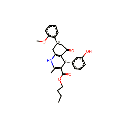 CCCCOC(=O)C1=C(C)NC2=C(C(=O)C[C@H](c3ccccc3OC)C2)[C@@H]1c1cccc(O)c1